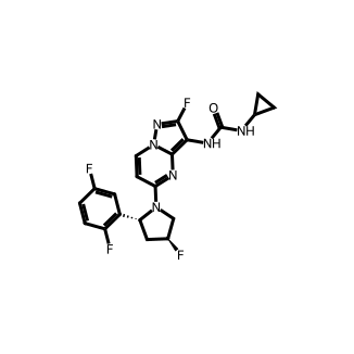 O=C(Nc1c(F)nn2ccc(N3C[C@@H](F)C[C@@H]3c3cc(F)ccc3F)nc12)NC1CC1